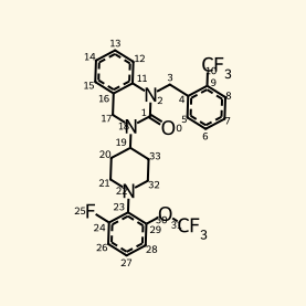 O=C1N(Cc2ccccc2C(F)(F)F)c2ccccc2CN1C1CCN(c2c(F)cccc2OC(F)(F)F)CC1